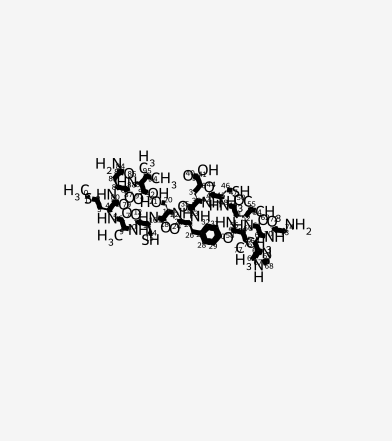 CSCC[C@H](NC(=O)[C@H](C)NC(=O)[C@H](CS)NC(=O)[C@H](CO)NC(=O)[C@H](Cc1ccccc1)NC(=O)[C@H](CCC(=O)O)NC(=O)[C@H](CS)NC(=O)[C@H](CC(C)C)NC(=O)[C@@H](NC(=O)[C@H](Cc1c[nH]cn1)NC(=O)CN)C(C)C)C(=O)N[C@@H](CC(N)=O)C(=O)N[C@H](C(=O)O)C(C)C